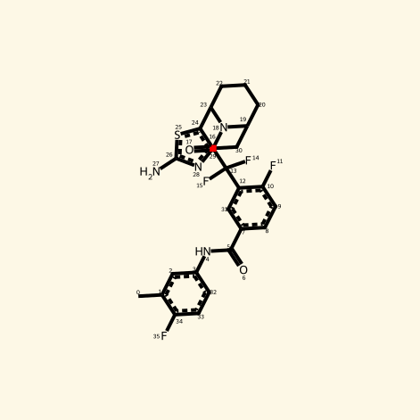 Cc1cc(NC(=O)c2ccc(F)c(C(F)(F)C(=O)N3C4CCCC3c3sc(N)nc3C4)c2)ccc1F